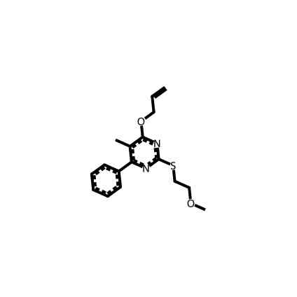 C=CCOc1nc(SCCOC)nc(-c2ccccc2)c1C